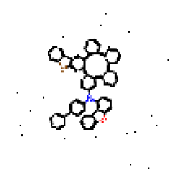 c1ccc(-c2ccc(N(c3ccc4c(c3)c3ccccc3c3ccccc3c3ccccc3c3cc5c(cc43)sc3ccccc35)c3cccc4oc5ccccc5c34)cc2)cc1